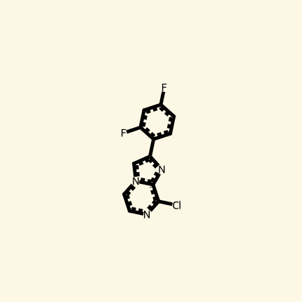 Fc1ccc(-c2cn3ccnc(Cl)c3n2)c(F)c1